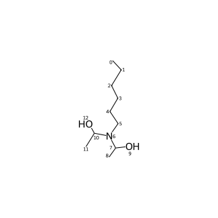 CCCCCCN(C(C)O)C(C)O